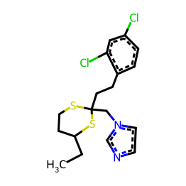 CCC1CCSC(CCc2ccc(Cl)cc2Cl)(Cn2ccnc2)S1